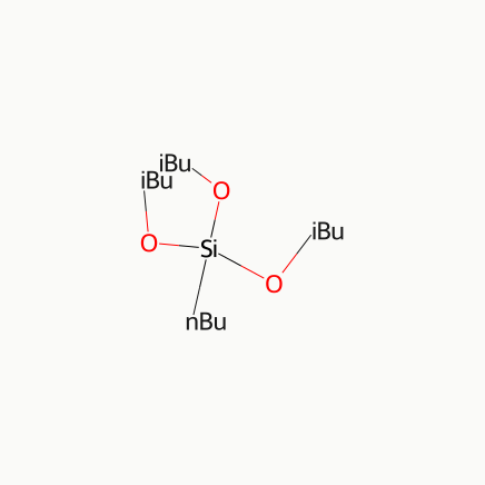 CCCC[Si](OC(C)CC)(OC(C)CC)OC(C)CC